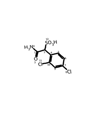 NC(=O)C(c1ccc(Cl)cc1Cl)S(=O)(=O)O